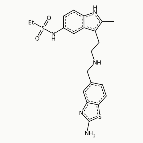 CCS(=O)(=O)Nc1ccc2[nH]c(C)c(CCNCc3ccc4sc(N)nc4c3)c2c1